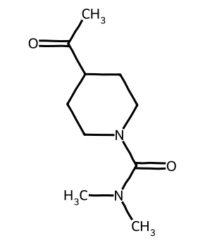 CC(=O)C1CCN(C(=O)N(C)C)CC1